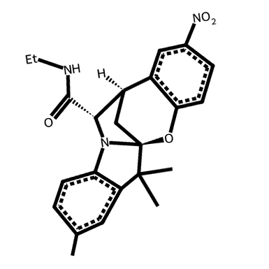 CCNC(=O)[C@@H]1[C@@H]2C[C@@]3(Oc4ccc([N+](=O)[O-])cc42)N1c1ccc(C)cc1C3(C)C